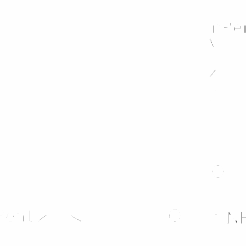 CCCCCC=CCC=CCCCCCCCCOCCCC1(CCCOCCCCCCCCC=CCC=CCCCCC)CNC1